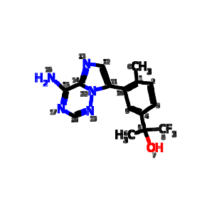 Cc1ccc(C(C)(O)C(F)(F)F)cc1-c1cnc2c(N)ncnn12